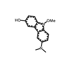 COn1c2ccc(O)cc2c2cc(N(C)C)ccc21